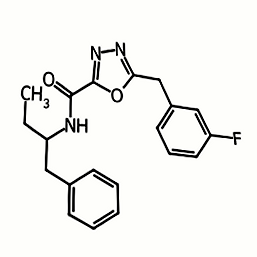 CCC(Cc1ccccc1)NC(=O)c1nnc(Cc2cccc(F)c2)o1